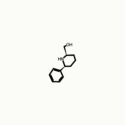 OC[C@H]1CCC[C@@H](c2ccccc2)N1